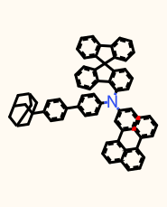 c1ccc(-c2cccc3cccc(-c4cccc(N(c5ccc(-c6ccc(C78CC9CC(CC(C9)C7)C8)cc6)cc5)c5cccc6c5-c5ccccc5C65c6ccccc6-c6ccccc65)c4)c23)cc1